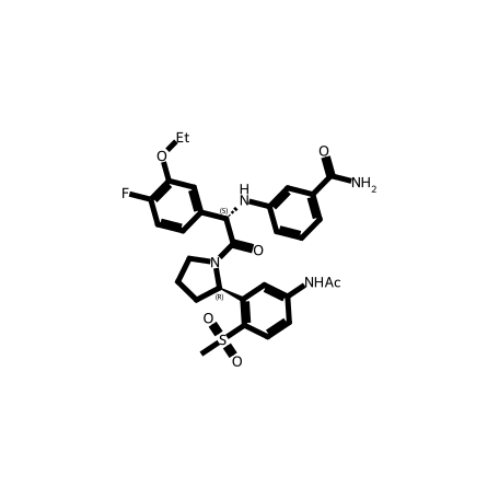 CCOc1cc([C@H](Nc2cccc(C(N)=O)c2)C(=O)N2CCC[C@@H]2c2cc(NC(C)=O)ccc2S(C)(=O)=O)ccc1F